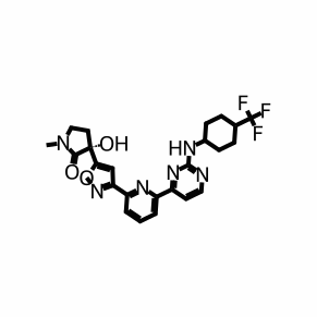 CN1CC[C@@](O)(c2cc(-c3cccc(-c4ccnc(NC5CCC(C(F)(F)F)CC5)n4)n3)no2)C1=O